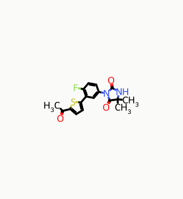 CC(=O)c1ccc(-c2cc(N3C(=O)NC(C)(C)C3=O)ccc2F)s1